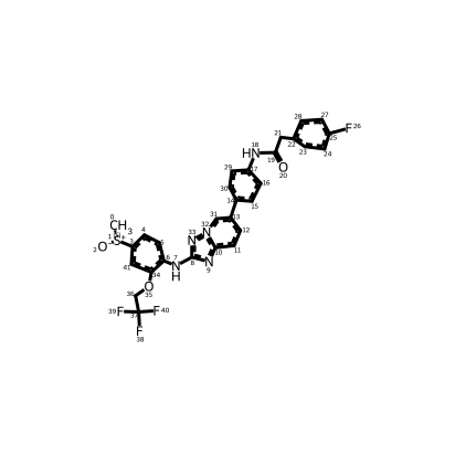 C[S@@+]([O-])c1ccc(Nc2nc3ccc(-c4ccc(NC(=O)Cc5ccc(F)cc5)cc4)cn3n2)c(OCC(F)(F)F)c1